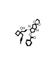 CC#CCC1([C@H](O)/C=C/[C@@H]2[C@H]3CC4(C[C@H]3C[C@H]2OC(=O)c2ccccc2)OCCO4)CCC1